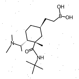 CC([C@@H]1CC[C@@H](CCB(O)O)C[C@]1(C)C(=O)NC(C)(C)C)N(C)C